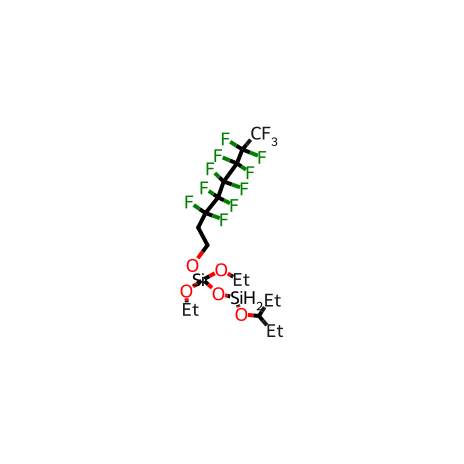 CCO[Si](OCC)(OCCC(F)(F)C(F)(F)C(F)(F)C(F)(F)C(F)(F)C(F)(F)F)O[SiH2]OC(CC)CC